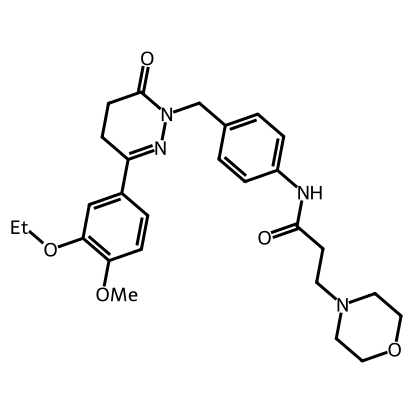 CCOc1cc(C2=NN(Cc3ccc(NC(=O)CCN4CCOCC4)cc3)C(=O)CC2)ccc1OC